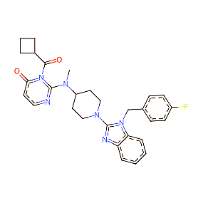 CN(c1nccc(=O)n1C(=O)C1CCC1)C1CCN(c2nc3ccccc3n2Cc2ccc(F)cc2)CC1